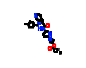 Cc1ccc(Cn2c(C(=O)Nc3ccc(N4CC(OC(=O)C(F)(F)F)C4)nc3)cc3ccncc32)cc1